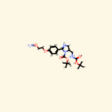 CC(C)(C)OC(=O)NCC1CN=C(c2ccc(OCCON)cc2)N1C(=O)OC(C)(C)C